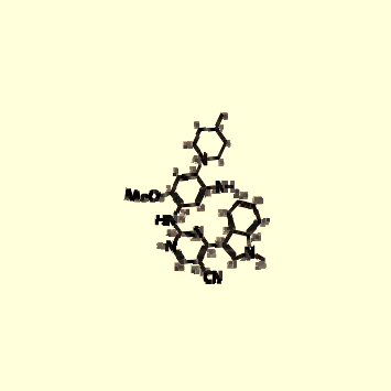 COc1cc(N2CCC(C)CC2)c(N)cc1Nc1ncc(C#N)c(-c2cn(C)c3ccccc23)n1